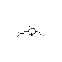 CCCC(O)C=C(C)CCC=C(C)C